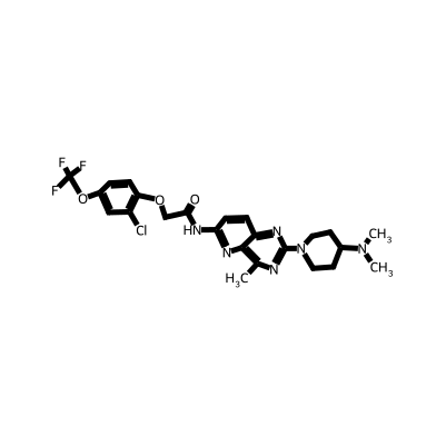 Cc1nc(N2CCC(N(C)C)CC2)nc2ccc(NC(=O)COc3ccc(OC(F)(F)F)cc3Cl)nc12